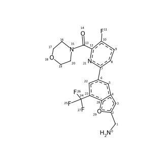 NCc1cc2cc(-c3ccc(F)c(C(=O)N4CCOCC4)n3)cc(C(F)(F)F)c2o1